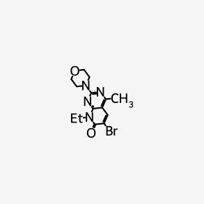 CCn1c(=O)c(Br)cc2c(C)nc(N3CCOCC3)nc21